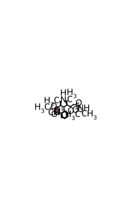 CC1=C(C(=O)CS(=O)(=O)NC(C)C)C(c2ccccc2[N+](=O)[O-])C(C(=O)OC(C)C)=C(C)N1